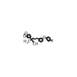 C#CC(C)(CCCc1cccc(Oc2ccc(F)cc2)c1)c1ccc2c(c1)OCO2